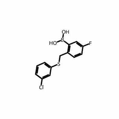 OB(O)c1cc(F)ccc1CSc1cccc(Cl)c1